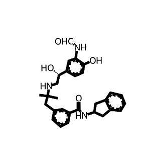 CC(C)(Cc1cccc(C(=O)NC2Cc3ccccc3C2)c1)NC[C@H](O)c1ccc(O)c(NC=O)c1